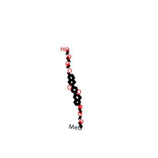 COCCOCCOCCOc1ccc2cc3c(cc2c1)oc1cc2c(cc13)oc1cc3cc(COCCOCCOCCO)ccc3cc12